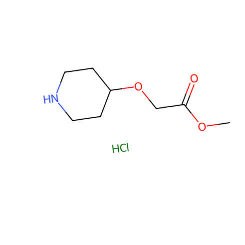 COC(=O)COC1CCNCC1.Cl